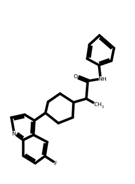 CC(C(=O)Nc1ccccc1)C1CCC(c2ccnc3ccc(F)cc23)CC1